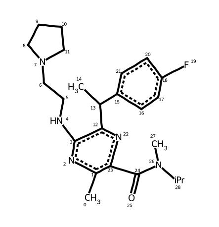 Cc1nc(NCCN2CCCC2)c(C(C)c2ccc(F)cc2)nc1C(=O)N(C)C(C)C